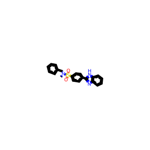 CN(Cc1ccccc1)S(=O)(=O)c1ccc(-c2nc3ccccc3[nH]2)cc1